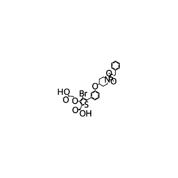 O=C(O)COc1c(C(=O)O)sc(-c2cccc(OC3CCN(S(=O)(=O)Cc4ccccc4)CC3)c2)c1Br